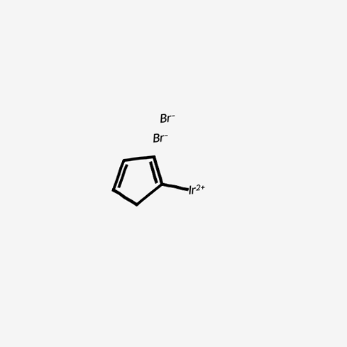 [Br-].[Br-].[Ir+2][C]1=CC=CC1